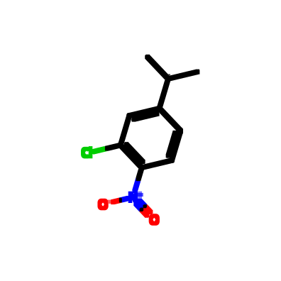 C[C](C)c1ccc([N+](=O)[O-])c(Cl)c1